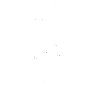 CS(=O)(=O)OC1=NN(Cc2ccc(Cl)c([N+](=O)[O-])c2)CN1N